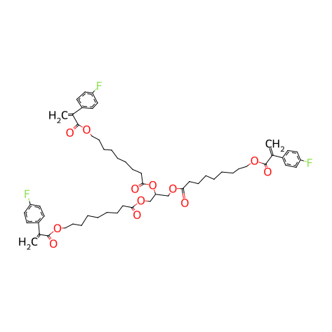 C=C(C(=O)OCCCCCCCCC(=O)OCC(COC(=O)CCCCCCCCOC(=O)C(=C)c1ccc(F)cc1)OC(=O)CCCCCCCCOC(=O)C(=C)c1ccc(F)cc1)c1ccc(F)cc1